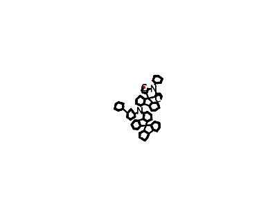 c1ccc(-c2cccc(N(c3cccc4c3-c3ccccc3C43c4ccccc4-c4ccccc43)c3cccc4c3-c3ccccc3C43c4ccccc4N(c4ccccc4)c4ccccc43)c2)cc1